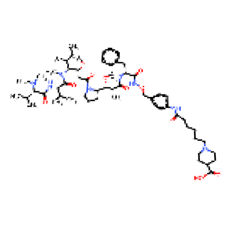 CC[C@H](C)[C@@H]([C@@H](CC(=O)N1CCC[C@H]1[C@H](OC)[C@@H](C)C(=O)N[C@@H](Cc1ccccc1)C(=O)NOCc1ccc(NC(=O)CCCCCN2CCC(C(=O)O)CC2)cc1)OC)N(C)C(=O)[C@@H](NC(=O)[C@H](C(C)C)N(C)C)C(C)C